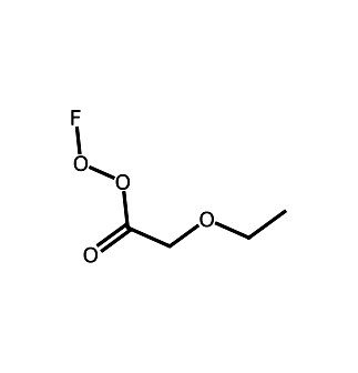 CCOCC(=O)OOF